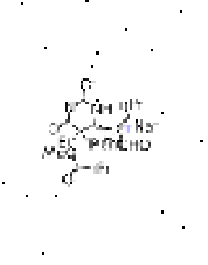 CCC/C=C/C=O.CCCC(=O)OC.CCCC(C)C1(CC)C(=O)N=C([O-])NC1=O.[Na+]